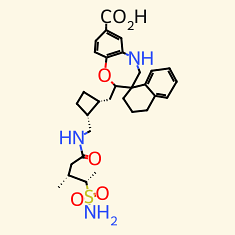 C[C@H](CC(=O)NC[C@@H]1CC[C@@H]1CC1Oc2ccc(C(=O)O)cc2NCC12CCCc1ccccc12)[C@H](C)S(N)(=O)=O